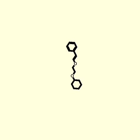 C(=Cc1ccccc1)OCCOC1CCCCC1